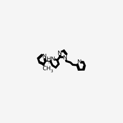 Cc1cccnc1[C@@H]1CCCC(c2nccn2CCCc2ccccn2)N1